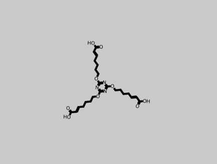 O=C(O)C=CCCCCOc1nc(OCCCCC=CC(=O)O)nc(OCCCCC=CC(=O)O)n1